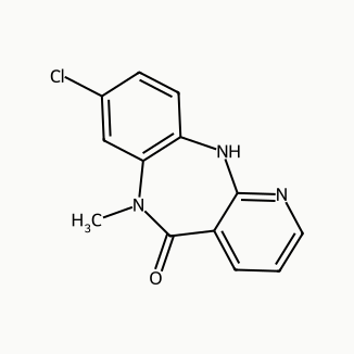 CN1C(=O)c2cccnc2Nc2ccc(Cl)cc21